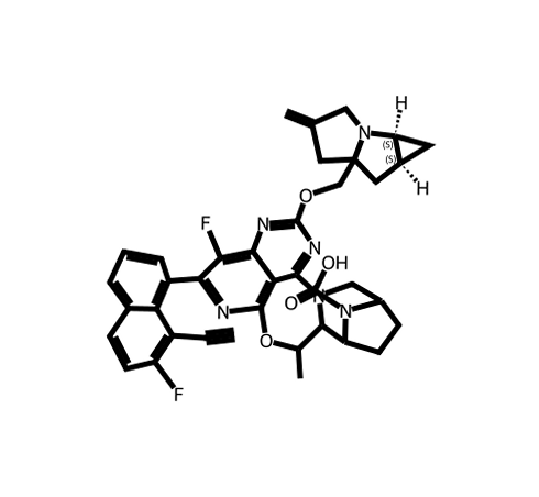 C#Cc1c(F)ccc2cccc(-c3nc4c5c(nc(OCC67CC(=C)CN6[C@H]6C[C@H]6C7)nc5c3F)N3CC5CCC(C3C(C)O4)N5C(=O)O)c12